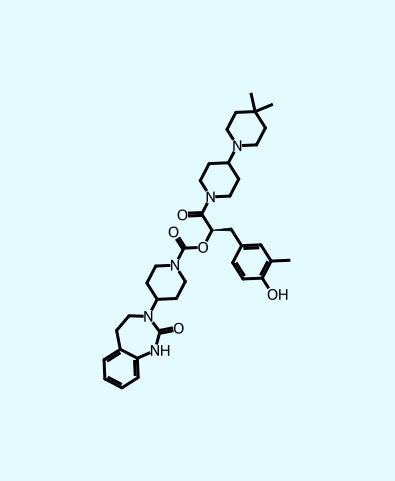 Cc1cc(C[C@@H](OC(=O)N2CCC(N3CCc4ccccc4NC3=O)CC2)C(=O)N2CCC(N3CCC(C)(C)CC3)CC2)ccc1O